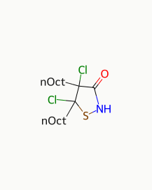 CCCCCCCCC1(Cl)SNC(=O)C1(Cl)CCCCCCCC